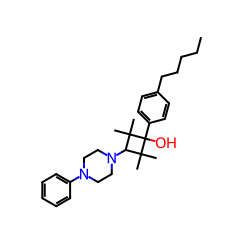 CCCCCc1ccc(C2(O)C(C)(C)C(N3CCN(c4ccccc4)CC3)C2(C)C)cc1